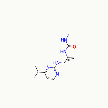 CNC(=O)N[C@@H](C)CNc1nccc(C(C)C)n1